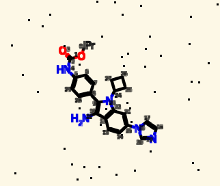 CC(C)OC(=O)Nc1ccc(-c2c(N)c3ccc(-n4ccnc4)cc3n2C2CCC2)cc1